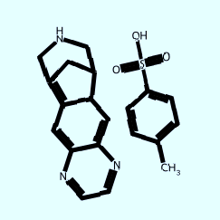 C1=c2nccnc2=CC2C1=C1CNCC2C1.Cc1ccc(S(=O)(=O)O)cc1